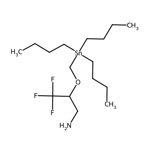 CCC[CH2][Sn]([CH2]CCC)([CH2]CCC)[CH2]OC(CN)C(F)(F)F